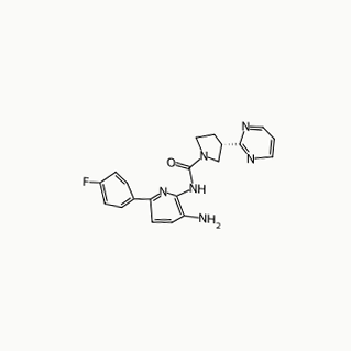 Nc1ccc(-c2ccc(F)cc2)nc1NC(=O)N1CC[C@H](c2ncccn2)C1